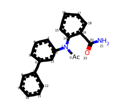 CC(=O)N(c1cccc(-c2ccccc2)c1)c1ccccc1C(N)=O